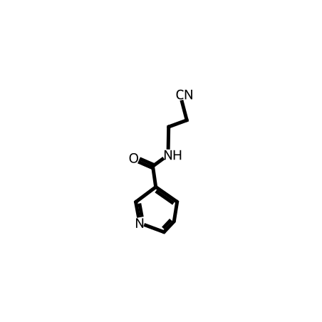 N#CCCNC(=O)c1cccnc1